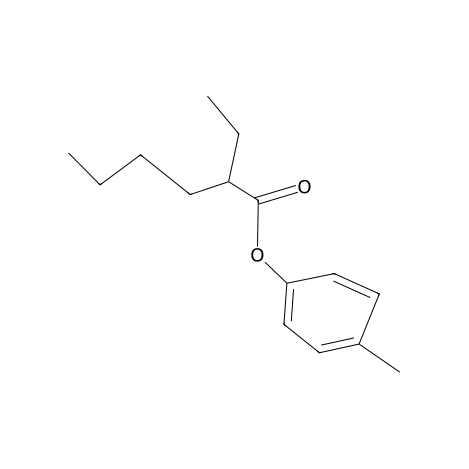 CCCCC(CC)C(=O)Oc1ccc(C)cc1